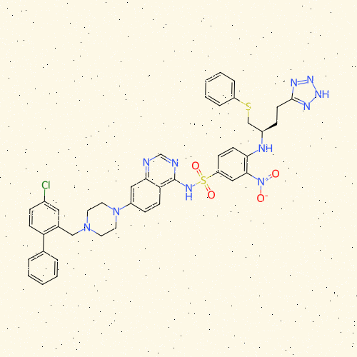 O=[N+]([O-])c1cc(S(=O)(=O)Nc2ncnc3cc(N4CCN(Cc5cc(Cl)ccc5-c5ccccc5)CC4)ccc23)ccc1N[C@H](CCc1nn[nH]n1)CSc1ccccc1